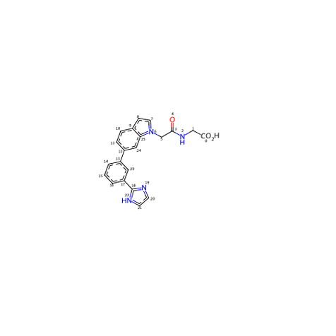 O=C(O)CNC(=O)Cn1ccc2ccc(-c3cccc(-c4ncc[nH]4)c3)cc21